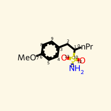 CCCC(Cc1ccc(OC)cc1)S(N)(=O)=O